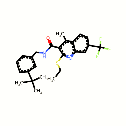 CCSc1nc2cc(C(F)(F)F)ccc2c(C)c1C(=O)NCc1cccc(C(C)(C)C)c1